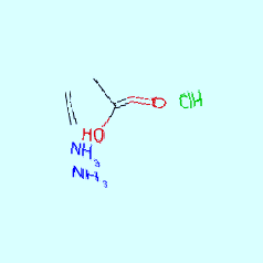 C=C.CC(=O)O.Cl.N.N